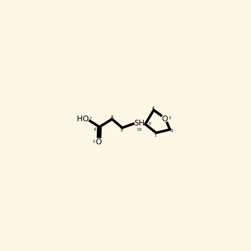 C1CCOC1.O=C(O)CCS